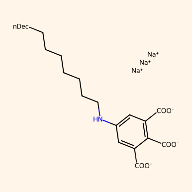 CCCCCCCCCCCCCCCCCNc1cc(C(=O)[O-])c(C(=O)[O-])c(C(=O)[O-])c1.[Na+].[Na+].[Na+]